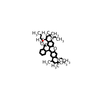 CCCCOC(=O)c1ccccc1C1=c2cc3c(cc2Oc2cc4c(cc21)C(C)=CC(C)(C)N4CC)=[N+](CC)C(C)(C)C=C3C